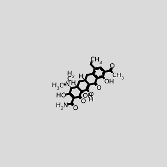 CCc1cc(C(C)=O)c(O)c2c1C[C@@H]1C[C@@H]3[C@@H](N(C)C)C(O)=C(C(N)=O)C(=O)[C@@]3(O)C(O)=C1C2=O